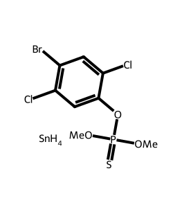 COP(=S)(OC)Oc1cc(Cl)c(Br)cc1Cl.[SnH4]